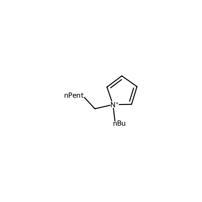 CCCCCC[N+]1(CCCC)C=CC=C1